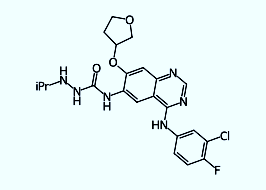 CC(C)NNC(=O)Nc1cc2c(Nc3ccc(F)c(Cl)c3)ncnc2cc1OC1CCOC1